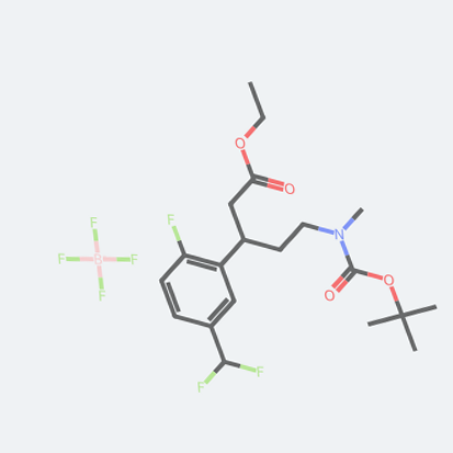 CCOC(=O)CC(CCN(C)C(=O)OC(C)(C)C)c1cc(C(F)F)ccc1F.F[B-](F)(F)F